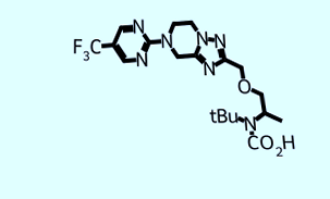 CC(COCc1nc2n(n1)CCN(c1ncc(C(F)(F)F)cn1)C2)N(C(=O)O)C(C)(C)C